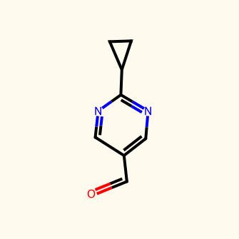 O=Cc1cnc(C2CC2)nc1